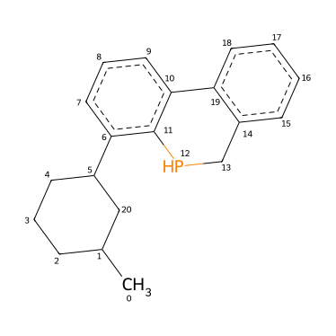 CC1CCCC(c2cccc3c2PCc2ccccc2-3)C1